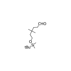 CC(C)(CCC=O)CCO[Si](C)(C)C(C)(C)C